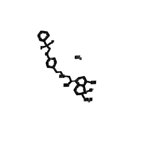 C.O=S(=O)(O)c1ccc2c([C@@H](O)CNCCc3ccc(OCC(F)(F)c4ccccc4)cc3)ccc(O)c2[n+]1[O-]